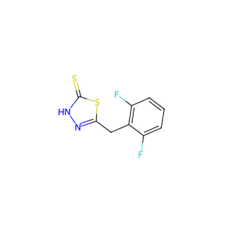 Fc1cccc(F)c1Cc1n[nH]c(=S)s1